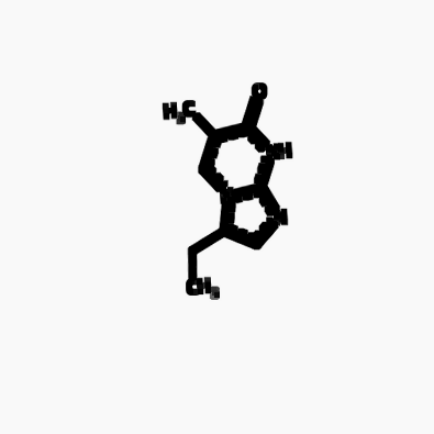 CCc1cnc2[nH]c(=O)c(C)cn12